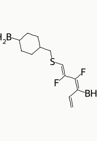 B/C(C=C)=C(F)/C(F)=C/SCC1CCC(B)CC1